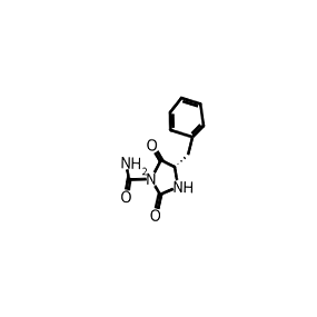 NC(=O)N1C(=O)N[C@@H](Cc2ccccc2)C1=O